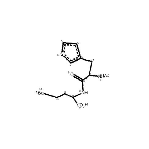 CC(=O)NC(Cc1ccsc1)C(=O)NC(CCC(C)(C)C)C(=O)O